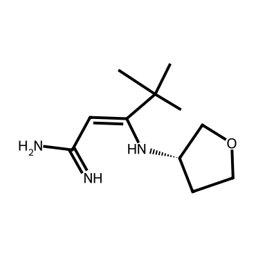 CC(C)(C)/C(=C/C(=N)N)N[C@H]1CCOC1